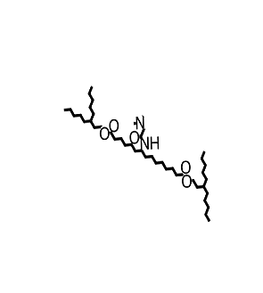 CCCCCC(CCCCC)CCOC(=O)CCCCCCCC(CCCCCC(=O)OCCC(CCCCC)CCCCC)NC(=O)CN(C)C